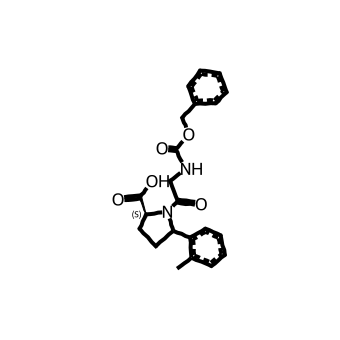 Cc1ccccc1C1CC[C@@H](C(=O)O)N1C(=O)CNC(=O)OCc1ccccc1